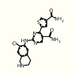 NC(=O)c1csc(-c2nc(Nc3cc4c(cc3Cl)CNCC4)ncc2C(N)=O)c1